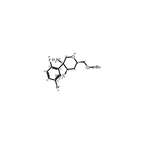 CCCCOC[C@H]1C[C@@H](C(=O)O)[C@](N)(c2cc(Br)ccc2F)CO1